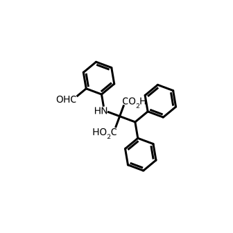 O=Cc1ccccc1NC(C(=O)O)(C(=O)O)C(c1ccccc1)c1ccccc1